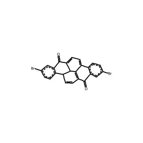 O=C1C2=C3C(=CC=C4C(=O)c5cc(Br)ccc5C(C=C2)C43)c2ccc(Br)cc21